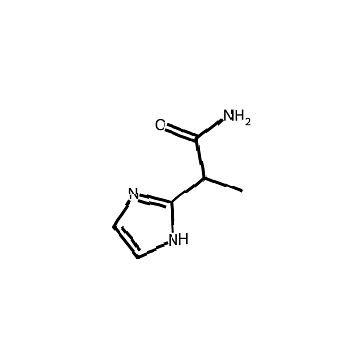 CC(C(N)=O)c1ncc[nH]1